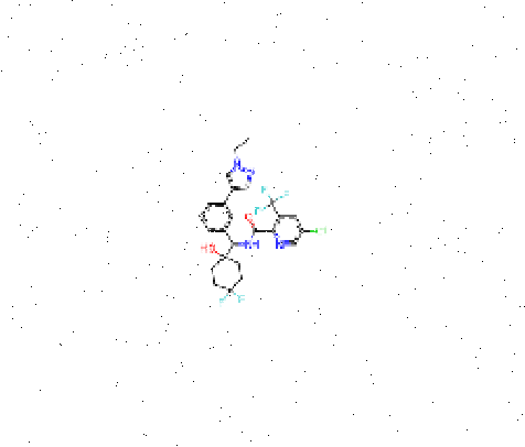 CCn1cc(-c2cccc(C(NC(=O)c3ncc(Cl)cc3C(F)(F)F)C3(O)CCC(F)(F)CC3)c2)cn1